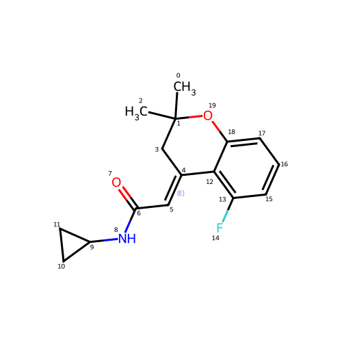 CC1(C)C/C(=C\C(=O)NC2CC2)c2c(F)cccc2O1